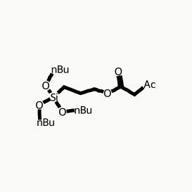 CCCCO[Si](CCCOC(=O)CC(C)=O)(OCCCC)OCCCC